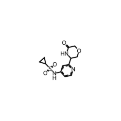 O=C1COCC(c2cc(NS(=O)(=O)C3CC3)ccn2)N1